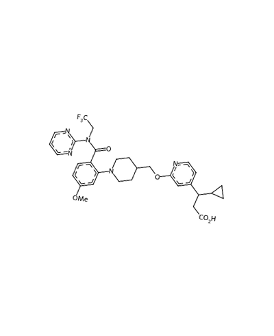 COc1ccc(C(=O)N(CC(F)(F)F)c2ncccn2)c(N2CCC(COc3cc(C(CC(=O)O)C4CC4)ccn3)CC2)c1